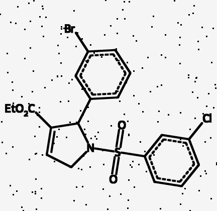 CCOC(=O)C1=CCN(S(=O)(=O)c2cccc(Cl)c2)C1c1cccc(Br)c1